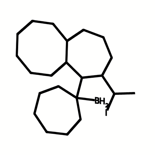 BC1(C2C(C(C)I)CCCC3CCCCCCC32)CCCCCC1